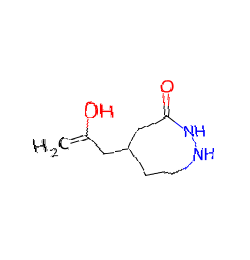 C=C(O)CC1CCNNC(=O)C1